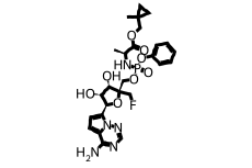 C[C@H](NP(=O)(OC[C@@]1(CF)O[C@@H](c2ccc3c(N)ncnn23)[C@H](O)[C@@H]1O)Oc1ccccc1)C(=O)OCC1(C)CC1